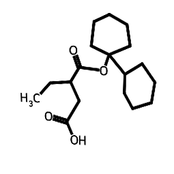 CCC(CC(=O)O)C(=O)OC1(C2CCCCC2)CCCCC1